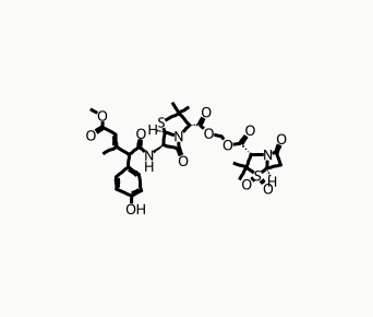 COC(=O)C=C(C)C(C(=O)N[C@@H]1C(=O)N2[C@@H]1SC(C)(C)[C@@H]2C(=O)OCOC(=O)[C@@H]1N2C(=O)C[C@H]2S(=O)(=O)C1(C)C)c1ccc(O)cc1